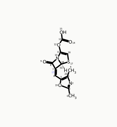 Cc1nc(C)c(/C=C2/C(=O)N3C(OC(=O)O)=CS[C@@H]23)o1